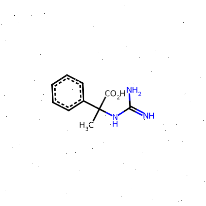 CC(NC(=N)N)(C(=O)O)c1ccccc1